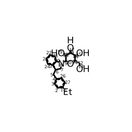 CCc1ccc(CC2CN(C3O[C@H](CO)[C@@H](O)[C@H](O)[C@H]3O)c3ccccc32)cc1